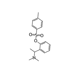 Cc1ccc(S(=O)(=O)Oc2ccccc2C(C)N(C)C)cc1